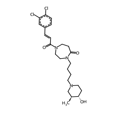 C[C@H]1CN(CCCCN2CCN(C(=O)/C=C/c3ccc(Cl)c(Cl)c3)CCC2=O)CC[C@@H]1O